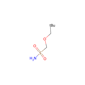 CC(C)(C)COCS(N)(=O)=O